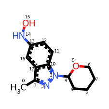 Cc1nn(C2CCCCO2)c2ccc(NO)cc12